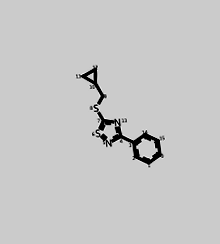 c1ccc(-c2nsc(SCC3CC3)n2)cc1